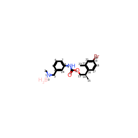 BN(C)Cc1cccc(NC(=O)OC[C@H](C)c2ccc(Br)cc2C)c1